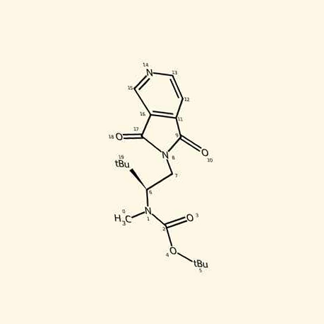 CN(C(=O)OC(C)(C)C)[C@H](CN1C(=O)c2ccncc2C1=O)C(C)(C)C